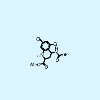 CCCC(=O)NC1CC(C(=O)OC)Nc2cc(Cl)cc(Cl)c21